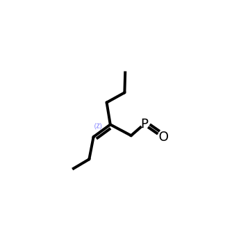 CC/C=C(/CCC)CP=O